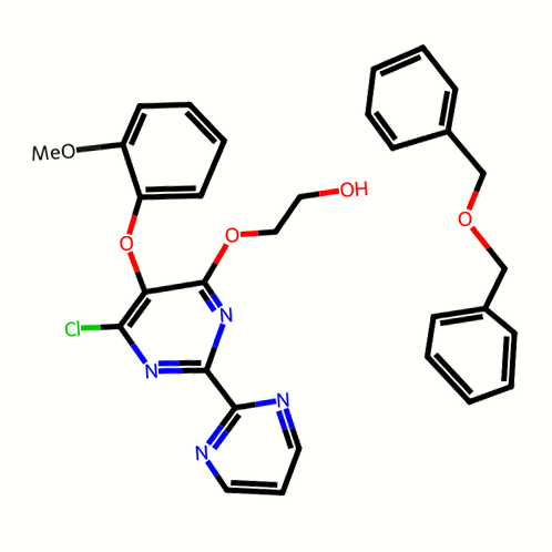 COc1ccccc1Oc1c(Cl)nc(-c2ncccn2)nc1OCCO.c1ccc(COCc2ccccc2)cc1